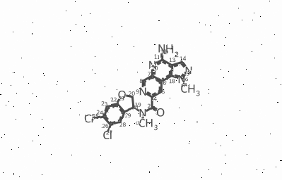 CN(C(=O)c1cc2c(cn1)nc(N)c1cnn(C)c12)[C@@H]1COc2cc(Cl)c(Cl)cc21